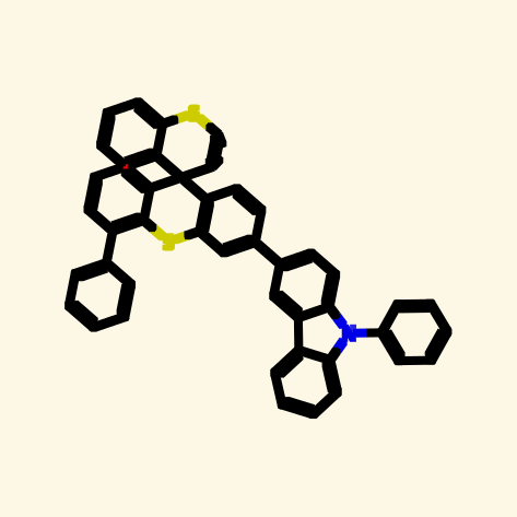 c1ccc(-c2cccc3c2Sc2cc(-c4ccc5c(c4)c4ccccc4n5-c4ccccc4)ccc2C32c3ccccc3Sc3ccccc32)cc1